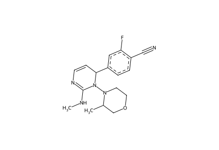 CNC1=NC=CC(c2ccc(C#N)c(F)c2)N1N1CCOCC1C